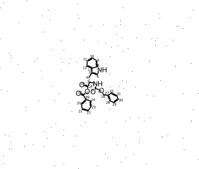 O=C(N[C@@H](Cc1c[nH]c2ccccc12)C(=O)OC(=O)c1ccccc1)OCc1ccccc1